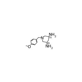 COc1ccc(CN2C[C@H](N)C[C@H](N)C2)cc1